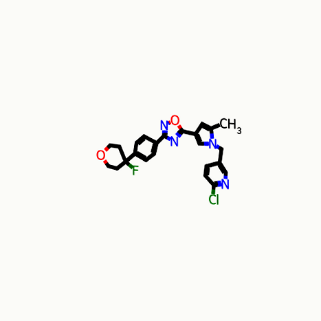 Cc1cc(-c2nc(-c3ccc(C4(F)CCOCC4)cc3)no2)cn1Cc1ccc(Cl)nc1